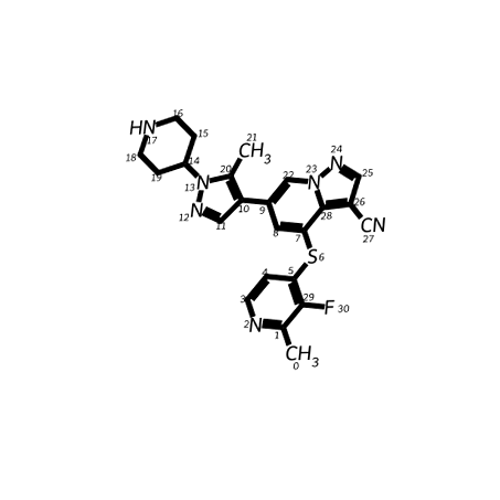 Cc1nccc(Sc2cc(-c3cnn(C4CCNCC4)c3C)cn3ncc(C#N)c23)c1F